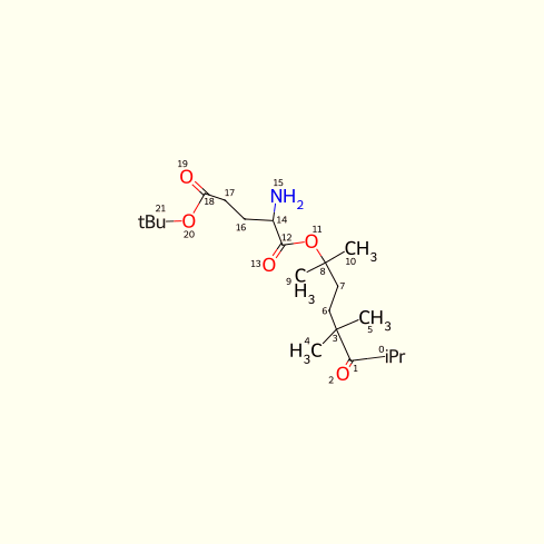 CC(C)C(=O)C(C)(C)CCC(C)(C)OC(=O)C(N)CCC(=O)OC(C)(C)C